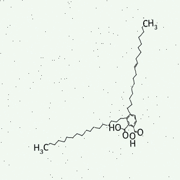 CCCCCCCCC=CCCCCCCCCc1ccc(C(=O)O)c(C(=O)O)c1CCCCCCCCCCCCCCCCCC